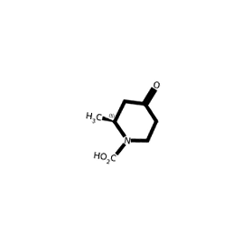 C[C@H]1CC(=O)CCN1C(=O)O